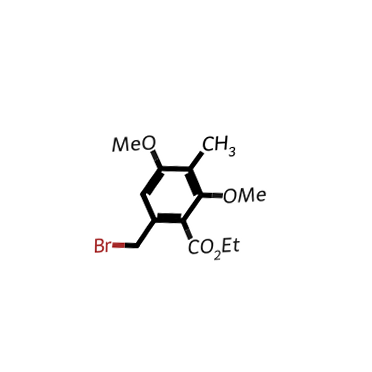 CCOC(=O)c1c(CBr)cc(OC)c(C)c1OC